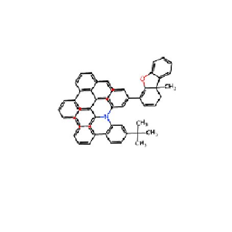 CC(C)(C)c1ccc(-c2ccccc2)c(N(c2cccc(C3=C4Oc5ccccc5C4(C)CC=C3)c2)c2ccccc2-c2cccc3cccc(-c4ccccc4)c23)c1